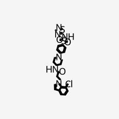 O=C(CCn1ccc2cccc(Cl)c21)NC1CCN(c2ccc(S(=O)(=O)Nc3ncns3)cc2)CC1